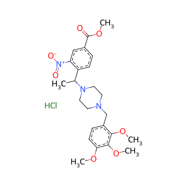 COC(=O)c1ccc(C(C)N2CCN(Cc3ccc(OC)c(OC)c3OC)CC2)c([N+](=O)[O-])c1.Cl